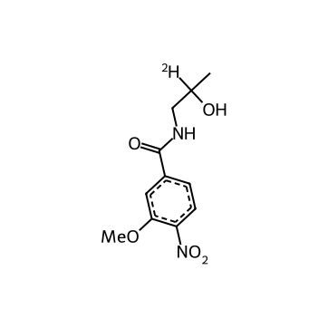 [2H]C(C)(O)CNC(=O)c1ccc([N+](=O)[O-])c(OC)c1